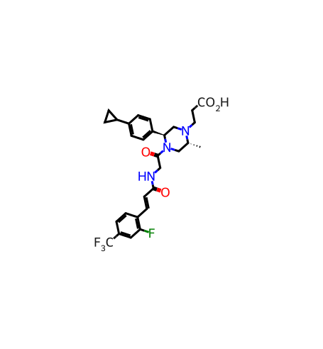 C[C@@H]1CN(C(=O)CNC(=O)/C=C/c2ccc(C(F)(F)F)cc2F)[C@@H](c2ccc(C3CC3)cc2)CN1CCC(=O)O